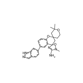 CN1OC2(CC3(CCOC(C)(C)C3)Oc3ccc(-c4ccc5cn[nH]c5c4)cc32)N=C1N